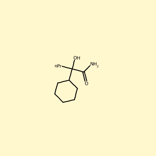 CCCC(O)(C(N)=O)C1CCCCC1